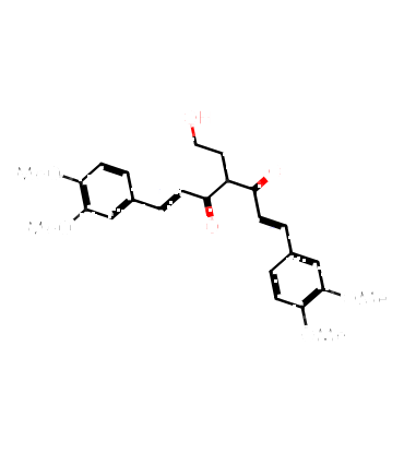 COc1ccc(/C=C/C(=O)C(CCO)C(=O)/C=C/c2ccc(OC)c(OC)c2)cc1OC